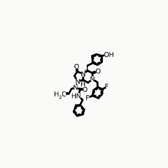 C=CCN(C(=O)NCc1ccccc1)N1CC(=O)N2[C@@H](Cc3ccc(O)cc3)C(=O)N(Cc3cc(F)ccc3F)C[C@@H]21